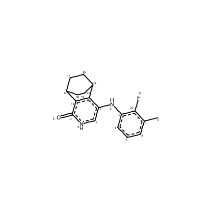 Cc1cccc(Nc2c[nH]c(=O)c3c2C2CCC3CC2)c1F